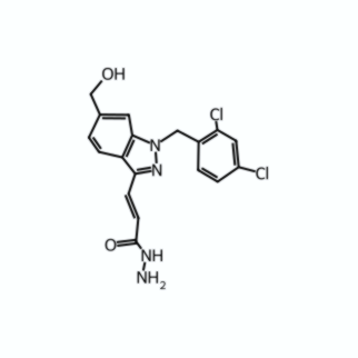 NNC(=O)C=Cc1nn(Cc2ccc(Cl)cc2Cl)c2cc(CO)ccc12